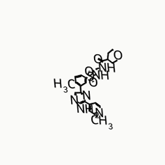 Cc1cc(-c2nc(-c3cc(S(=O)(=O)NCNC(=O)C4CCOCC4)ccc3C)cnc2N)ccn1